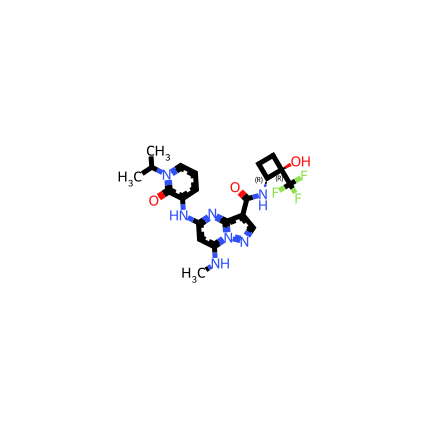 CNc1cc(Nc2cccn(C(C)C)c2=O)nc2c(C(=O)N[C@@H]3CC[C@]3(O)C(F)(F)F)cnn12